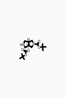 CC(C)(C)OC(=O)O[C@]12CNC[C@H]1CN(C(=O)OC(C)(C)C)C2